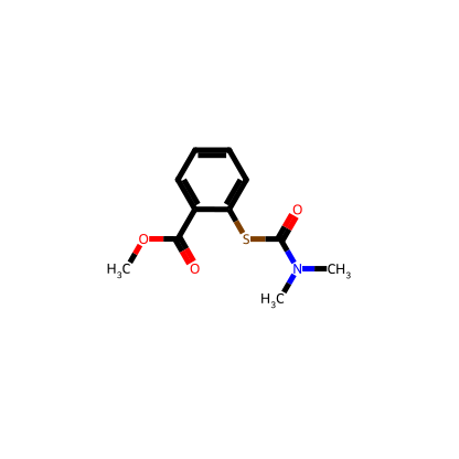 COC(=O)c1ccccc1SC(=O)N(C)C